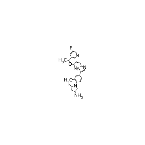 Cc1cc(-c2cnc3ccc(OC(C)c4cncc(F)c4)nn23)ccc1N1C[C@@H](N)CC1I